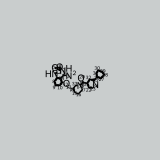 NC1=NS(=O)(=O)Nc2cccc(OC[C@H]3CCCN(C(=O)c4ccnc(-c5ccccc5)c4)C3)c21